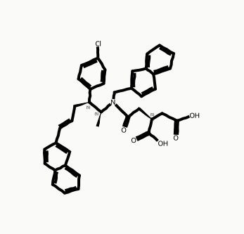 C[C@@H]([C@@H](CC=Cc1ccc2ccccc2c1)c1ccc(Cl)cc1)N(Cc1ccc2ccccc2c1)C(=O)C[C@@H](CC(=O)O)C(=O)O